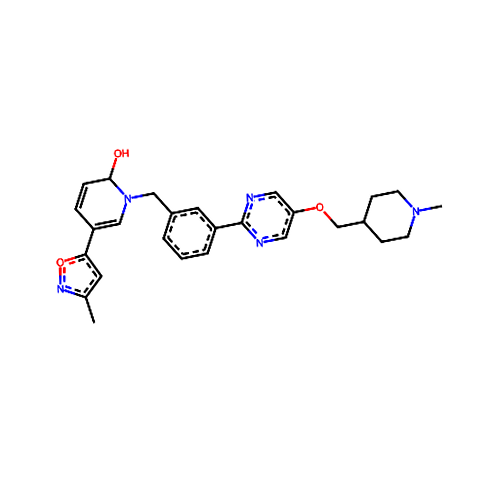 Cc1cc(C2=CN(Cc3cccc(-c4ncc(OCC5CCN(C)CC5)cn4)c3)C(O)C=C2)on1